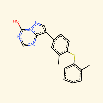 Cc1ccccc1Sc1ccc(-c2cnn3c(O)ncnc23)cc1C